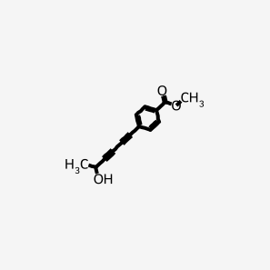 COC(=O)c1ccc(C#CC#CC(C)O)cc1